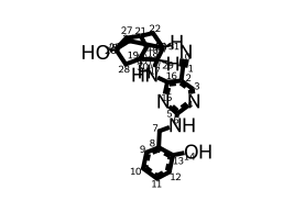 N#Cc1cnc(NCc2ccccc2O)nc1N[C@@H]1[C@@H]2CC3C[C@H]1C[C@@](O)(C3)C2